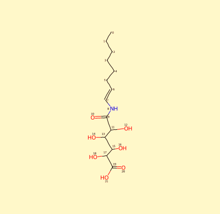 CCCCCC/C=C/NC(=O)C(O)C(O)C(O)C(O)C(=O)O